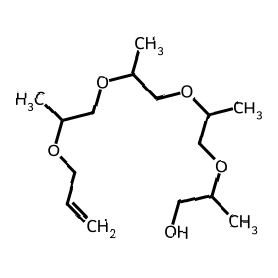 C=CCOC(C)COC(C)COC(C)COC(C)CO